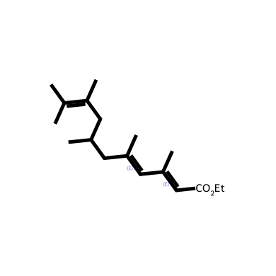 CCOC(=O)/C=C(C)/C=C(\C)CC(C)CC(C)=C(C)C